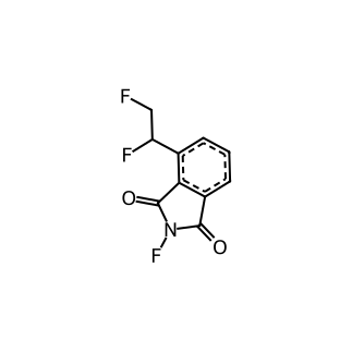 O=C1c2cccc(C(F)CF)c2C(=O)N1F